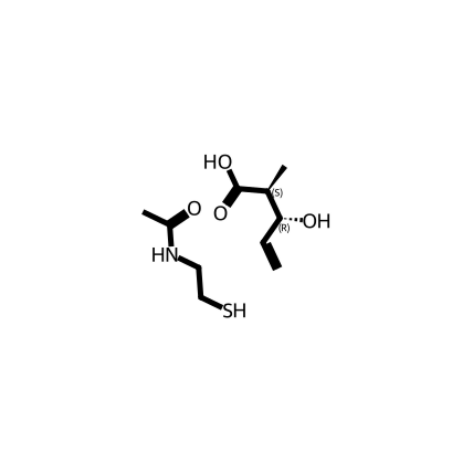 C=C[C@@H](O)[C@H](C)C(=O)O.CC(=O)NCCS